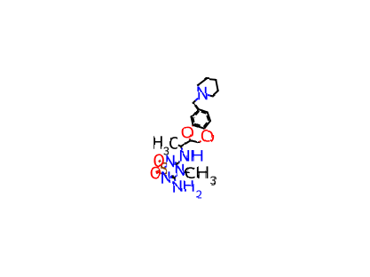 CC(NC1=NS(=O)(=O)N=C(N)N1C)C1COc2ccc(CN3CCCCC3)cc2O1